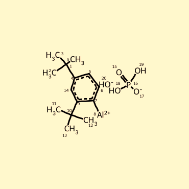 CC(C)(C)c1cc[c]([Al+2])c(C(C)(C)C)c1.O=P([O-])(O)O.[OH-]